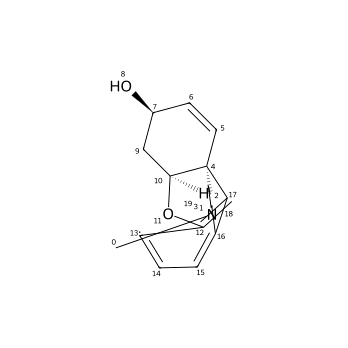 CN1CC[C@@]23C=C[C@H](O)C[C@@H]2Oc2[c]ccc(c23)C1